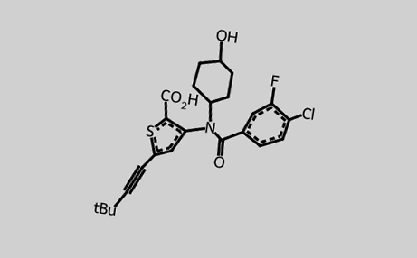 CC(C)(C)C#Cc1cc(N(C(=O)c2ccc(Cl)c(F)c2)C2CCC(O)CC2)c(C(=O)O)s1